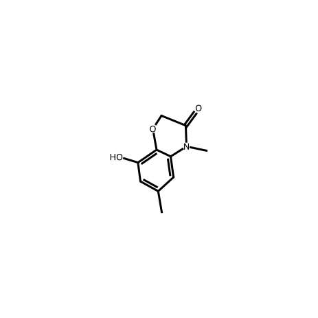 Cc1cc(O)c2c(c1)N(C)C(=O)CO2